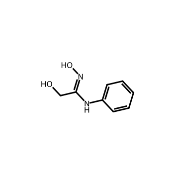 OCC(=NO)Nc1ccccc1